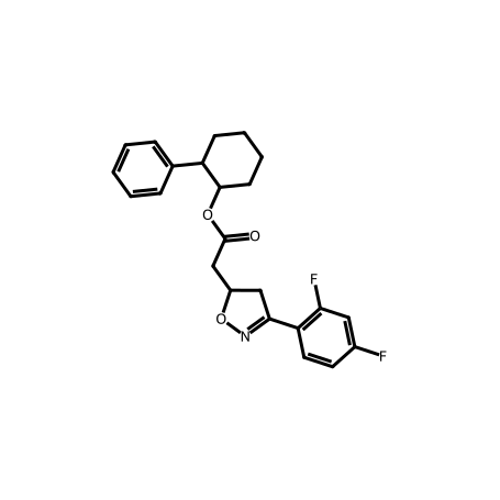 O=C(CC1CC(c2ccc(F)cc2F)=NO1)OC1CCCCC1c1ccccc1